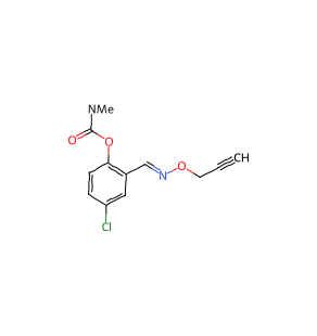 C#CCON=Cc1cc(Cl)ccc1OC(=O)NC